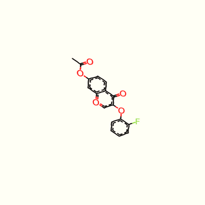 CC(=O)Oc1ccc2c(=O)c(Oc3ccccc3F)coc2c1